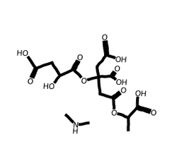 CC(OC(=O)CC(CC(=O)O)(OC(=O)C(O)CC(=O)O)C(=O)O)C(=O)O.CNC